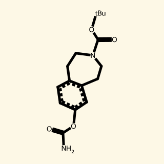 CC(C)(C)OC(=O)N1CCc2ccc(OC(N)=O)cc2CC1